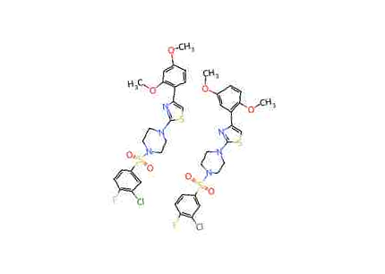 COc1ccc(-c2csc(N3CCN(S(=O)(=O)c4ccc(F)c(Cl)c4)CC3)n2)c(OC)c1.COc1ccc(OC)c(-c2csc(N3CCN(S(=O)(=O)c4ccc(F)c(Cl)c4)CC3)n2)c1